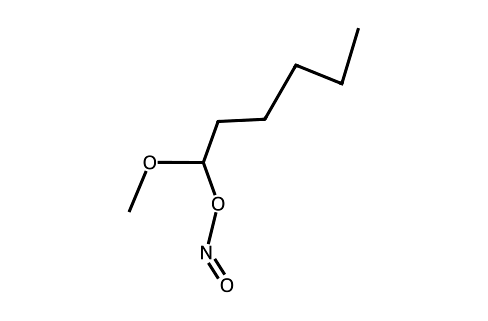 CCCCCC(OC)ON=O